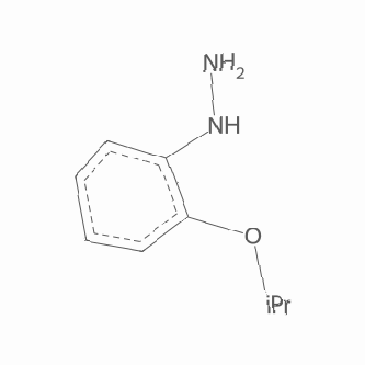 CC(C)Oc1ccccc1NN